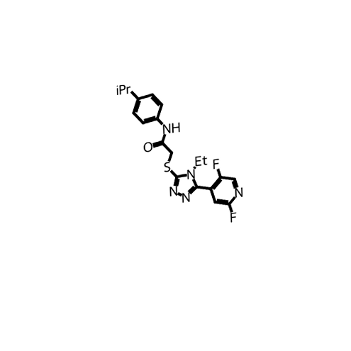 CCn1c(SCC(=O)Nc2ccc(C(C)C)cc2)nnc1-c1cc(F)ncc1F